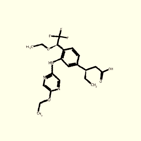 CCOc1cnc(Nc2cc([C@H](CC)CC(=O)O)ccc2[C@@H](OCC)C(F)(F)F)cn1